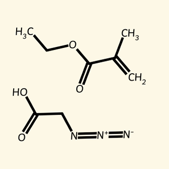 C=C(C)C(=O)OCC.[N-]=[N+]=NCC(=O)O